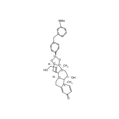 CNc1cccc(Cc2ccc([C@@H]3O[C@@H]4CC5[C@@H]6CCC7=CC(=O)C=C[C@]7(C)C6[C@@H](O)C[C@]5(C)[C@]4(C(=O)CO)O3)cc2)c1